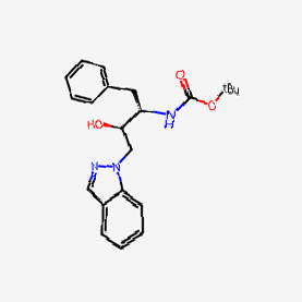 CC(C)(C)OC(=O)N[C@H](Cc1ccccc1)[C@H](O)Cn1ncc2ccccc21